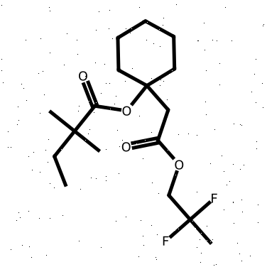 CCC(C)(C)C(=O)OC1(CC(=O)OCC(C)(F)F)CCCCC1